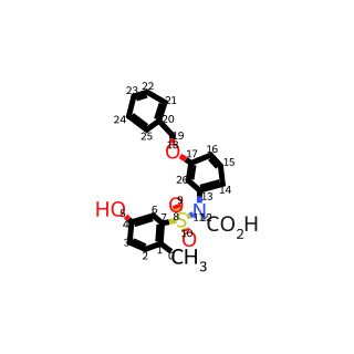 Cc1ccc(O)cc1S(=O)(=O)N(C(=O)O)c1cccc(OCc2ccccc2)c1